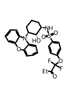 CCC(=O)C(F)(F)Oc1ccc(S(=O)(=O)N[C@@H]2CCC[C@H](N3c4ccccc4Oc4ccccc43)[C@H]2O)cc1